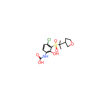 CC(C)(C1CCOC1)S(=O)(=O)c1c(Cl)ccc(NC(=O)O)c1O